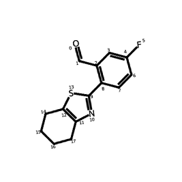 O=Cc1cc(F)ccc1-c1nc2c(s1)CCCC2